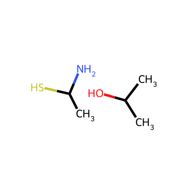 CC(C)O.CC(N)S